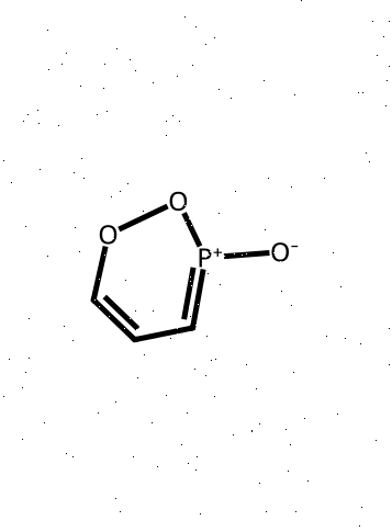 [O-][P+]1=CC=COO1